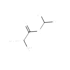 CCC(CC)OC(=O)[C@@H](C)N